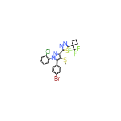 CSc1c(-c2nnc(C3(C(F)(F)F)CCC3)s2)nn(-c2ccccc2Cl)c1-c1ccc(Br)cc1